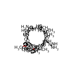 CC[C@H](C)[C@@H]1NC(=O)[C@@H](CCCNC(=N)N)NC(=O)[C@H](CC(C)C)NC(=O)[C@H]([C@H](O)C(C)C)NC(=O)[C@@H](NC(=O)[C@H](CC(C)C)NC(=S)Nc2ccccc2)[C@@H](c2ccccc2)OC(=O)[C@H](CO)NC(=O)[C@H]([C@H](O)C(N)=O)NC(=O)CNC(=O)[C@H]([C@H](C)O)NC1=O